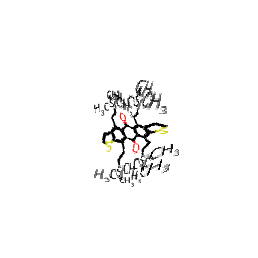 C[Si](C)(C)CCc1c2c(c(CC[Si](C)(C)C)c3sccc13)C(=O)c1c(c(CC[Si](C)(C)C)c3ccsc3c1CC[Si](C)(C)C)C2=O